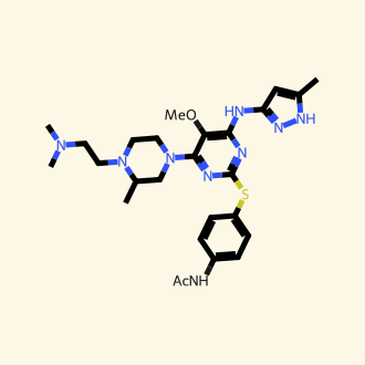 COc1c(Nc2cc(C)[nH]n2)nc(Sc2ccc(NC(C)=O)cc2)nc1N1CCN(CCN(C)C)C(C)C1